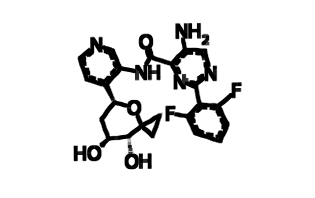 Nc1cnc(-c2c(F)cccc2F)nc1C(=O)Nc1cnccc1[C@@H]1C[C@H](O)[C@@H](O)C2(CC2)O1